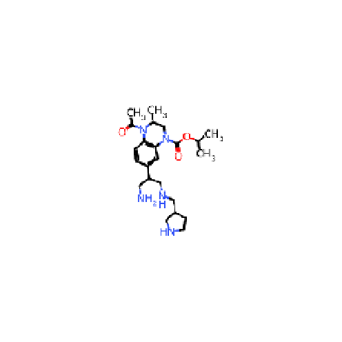 CC(=O)N1c2ccc(C(CN)CNC[C@H]3CCNC3)cc2N(C(=O)OC(C)C)C[C@@H]1C